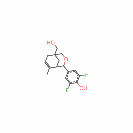 CC1=CCC2(CO)COC(c3cc(F)c(O)c(F)c3)C1C2